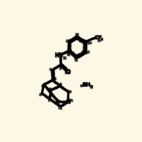 B.O=C(C=C1C2CC3CC1CN(C3)C2)Nc1ccc(C(F)(F)F)cc1